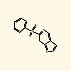 O=S(=O)(C1=NC=C2C=CN=C2C1)c1ccccc1